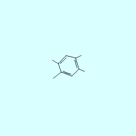 Oc1cc(C(Cl)(Cl)Cl)c(F)cc1Cl